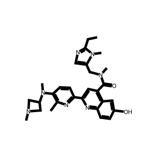 CCc1ncc(CN(C)C(=O)c2cc(-c3ccc(N(C)C4CN(C)C4)c(C)n3)nc3ccc(O)cc23)n1C